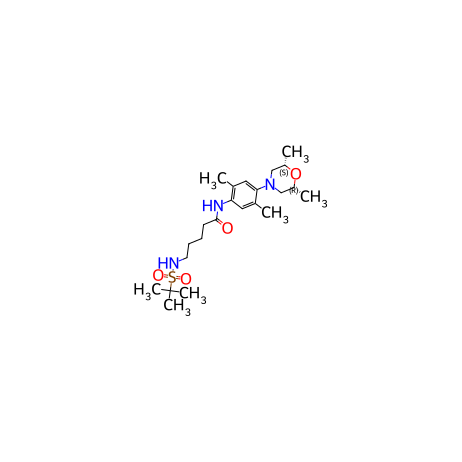 Cc1cc(N2C[C@@H](C)O[C@@H](C)C2)c(C)cc1NC(=O)CCCCNS(=O)(=O)C(C)(C)C